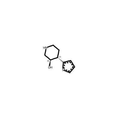 O[C@H]1CNCC[C@@H]1c1cccs1